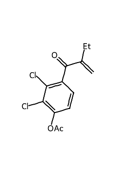 C=C(CC)C(=O)c1ccc(OC(C)=O)c(Cl)c1Cl